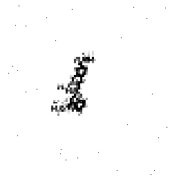 CNC(=O)c1ccc2c(c1)CN(C)C(CNC(=O)CC(c1ccccc1)C(C)(C)C)C2